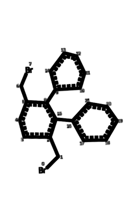 BrCc1ccc(CBr)c(-c2ccccc2)c1-c1ccccc1